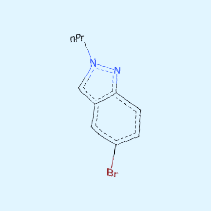 CCCn1cc2cc(Br)ccc2n1